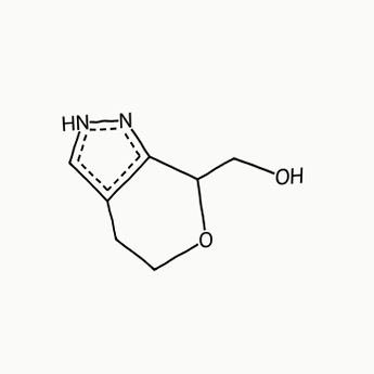 OCC1OCCc2c[nH]nc21